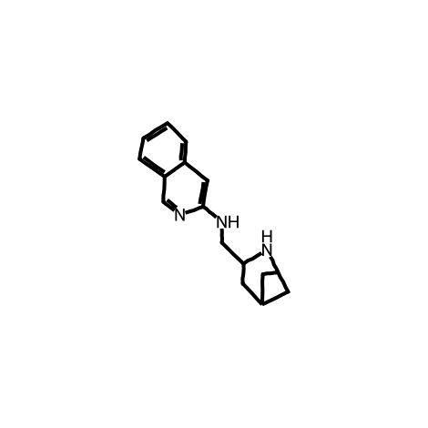 c1ccc2cc(NCC3CC4CC(C4)N3)ncc2c1